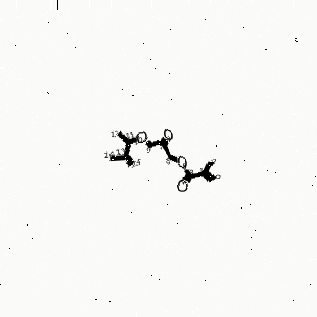 C=C(C)C(=O)OCC(=O)COC(C)C(C)C